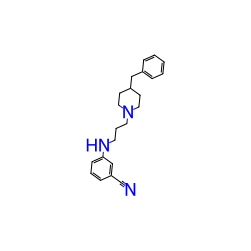 N#Cc1cccc(NCCCN2CCC(Cc3ccccc3)CC2)c1